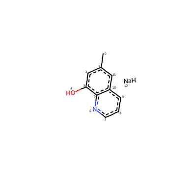 Cc1cc(O)c2ncccc2c1.[NaH]